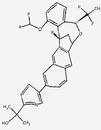 CC(C)(O)c1ccc(-c2ccc3cc4c(cc3c2)[C@H]2CC4O[C@H](C(C)(F)F)c3cccc(OC(F)F)c32)cn1